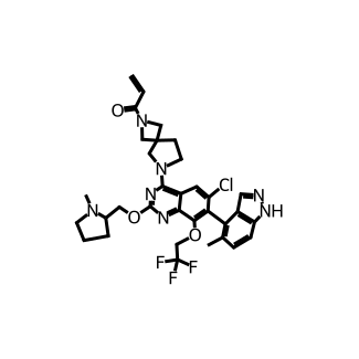 C=CC(=O)N1CC2(CCN(c3nc(OCC4CCCN4C)nc4c(OCC(F)(F)F)c(-c5c(C)ccc6[nH]ncc56)c(Cl)cc34)C2)C1